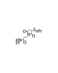 CCCSC1CC(=O)N(CCC(=O)NCC)C1=O